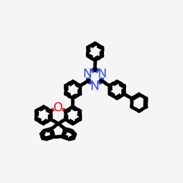 C1=CCCC(c2ccc(-c3nc(-c4ccccc4)nc(-c4cccc(-c5cccc6c5Oc5ccccc5C65c6ccccc6-c6ccccc65)c4)n3)cc2)=C1